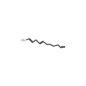 C=CCCCCC=CCC=CCCCC